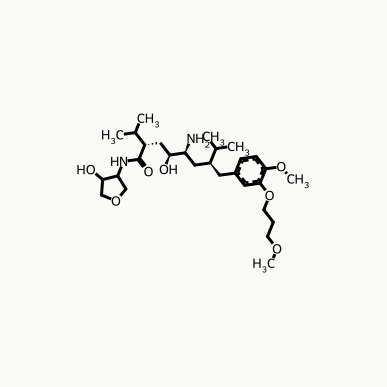 COCCCOc1cc(C[C@@H](C[C@H](N)[C@@H](O)C[C@H](C(=O)NC2COCC2O)C(C)C)C(C)C)ccc1OC